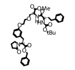 COC(=O)[C@H](COCCOc1cccc(C[C@@H](C(=O)OCc2ccccc2)N2CCCC2=O)c1)NC(=O)[C@H](CCc1ccccc1)NC(=O)OC(C)(C)C